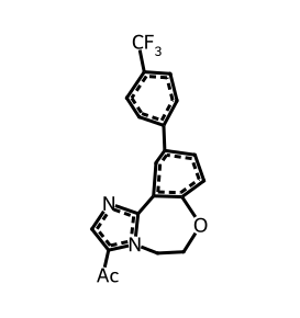 CC(=O)c1cnc2n1CCOc1ccc(-c3ccc(C(F)(F)F)cc3)cc1-2